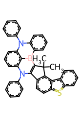 CC1(C)C2=C(c3ccc4sc5ccccc5c4c31)N(c1ccccc1)c1cccc3c1B2c1ccccc1N3c1ccccc1